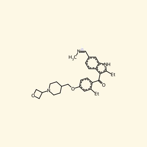 CCc1cc(OCC2CCN(C3COC3)CC2)ccc1C(=O)c1c(CC)[nH]c2cc(/C=N\C)ccc12